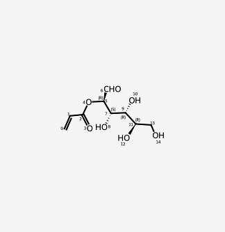 C=CC(=O)O[C@@H](C=O)[C@@H](O)[C@H](O)[C@H](O)CO